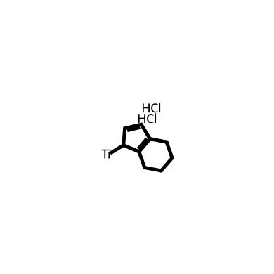 Cl.Cl.[Ti][CH]1C=CC2=C1CCCC2